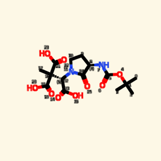 CC(C)(C)OC(=O)N[C@@H]1CCN([C@H](C(=O)O)C(C)(C(=O)O)C(=O)O)C1=O